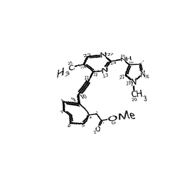 COC(=O)Cc1ccccc1C#Cc1nc(Nc2cnn(C)c2)ncc1C